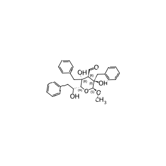 CO[C@H]1O[C@H](C(O)Cc2ccccc2)[C@@](O)(Cc2ccccc2)[C@@H](C=O)[C@]1(O)Cc1ccccc1